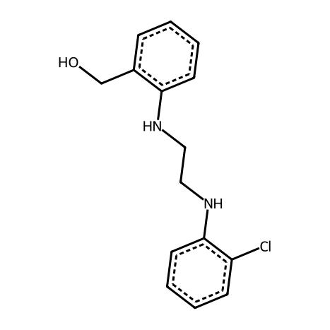 OCc1ccccc1NCCNc1ccccc1Cl